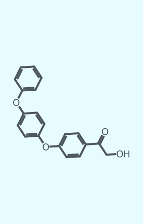 O=C(CO)c1ccc(Oc2ccc(Oc3ccccc3)cc2)cc1